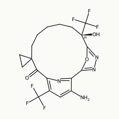 Nc1cc(C(F)(F)F)c2nc1-c1nnc(o1)[C@@](O)(C(F)(F)F)CCCCCC1(CC1)C2=O